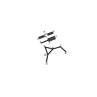 C#CC.C=C=C.CCC1CC1C